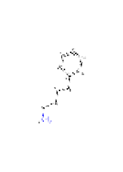 NC[CH]CCc1ccccc1